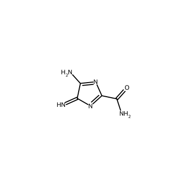 N=C1N=C(C(N)=O)N=C1N